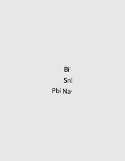 [Bi].[Na].[Pb].[Sn]